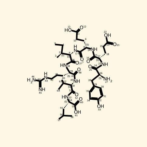 CC[C@H](C)[C@H](NC(=O)[C@H](CCC(=O)O)NC(=O)[C@H](CCC(=O)O)NC(=O)[C@@H](N)Cc1ccc(O)cc1)C(=O)N[C@@H](CCCNC(=N)N)C(=O)N[C@H](C(=O)N[C@@H](CC(C)C)C(=O)O)C(C)C